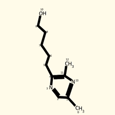 Cc1cnc(CCCCCO)c(C)n1